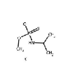 COP([O-])(=S)NC(C)C.[K+]